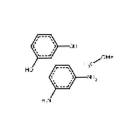 COC.Nc1cccc(N)c1.Oc1cccc(O)c1